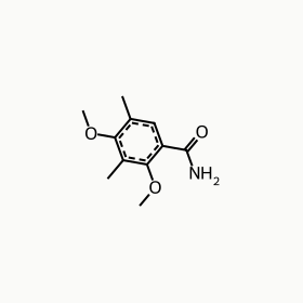 COc1c(C)cc(C(N)=O)c(OC)c1C